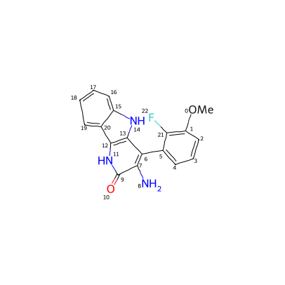 COc1cccc(-c2c(N)c(=O)[nH]c3c2[nH]c2ccccc23)c1F